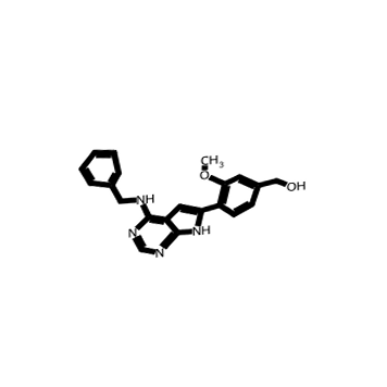 COc1cc(CO)ccc1-c1cc2c(NCc3ccccc3)ncnc2[nH]1